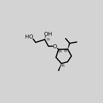 CC(C)[C@H]1CC[C@@H](C)C[C@H]1OC[C@@H](O)CO